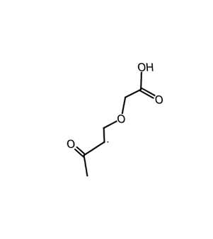 CC(=O)[CH]COCC(=O)O